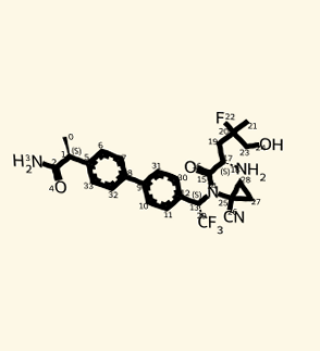 C[C@H](C(N)=O)c1ccc(-c2ccc([C@H](N(C(=O)[C@@H](N)CC(C)(F)CO)C3(C#N)CC3)C(F)(F)F)cc2)cc1